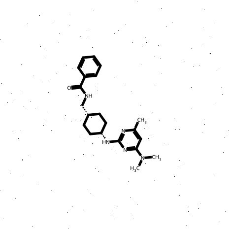 Cc1cc(N(C)C)nc(N[C@H]2CC[C@@H](CNC(=O)c3ccccc3)CC2)n1